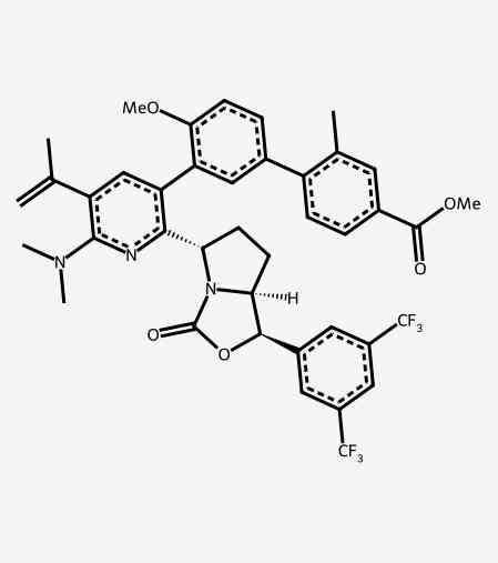 C=C(C)c1cc(-c2cc(-c3ccc(C(=O)OC)cc3C)ccc2OC)c([C@@H]2CC[C@H]3[C@@H](c4cc(C(F)(F)F)cc(C(F)(F)F)c4)OC(=O)N23)nc1N(C)C